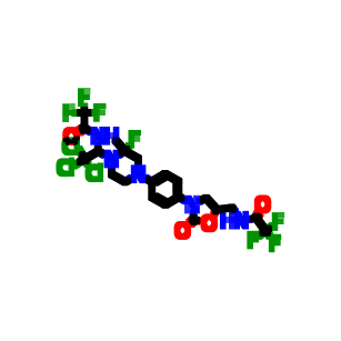 CC1(F)CN(c2ccc(N3CC(CNC(=O)C(F)(F)F)OC3=O)cc2)CCN1C(NC(=O)C(F)(F)F)C(Cl)(Cl)Cl